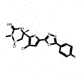 CN1C(=N)N[C@](C)(c2sc(-c3nnc(-c4ccc(F)cc4)o3)cc2Cl)C[S+]1[O-]